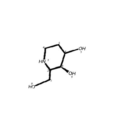 OCC1NCCC(O)[C@H]1O